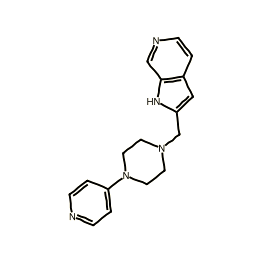 c1cc(N2CCN(Cc3cc4ccncc4[nH]3)CC2)ccn1